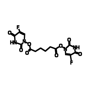 O=C(CCCCC(=O)On1cc(F)c(=O)[nH]c1=O)On1cc(F)c(=O)[nH]c1=O